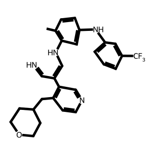 Cc1ccc(Nc2cccc(C(F)(F)F)c2)cc1N/C=C(\C=N)c1cnccc1CC1CCOCC1